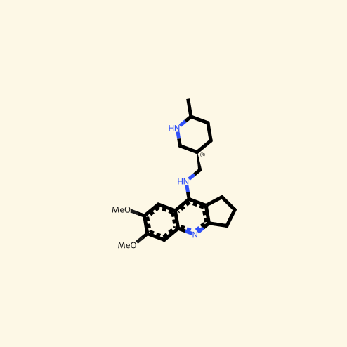 COc1cc2nc3c(c(NC[C@@H]4CCC(C)NC4)c2cc1OC)CCC3